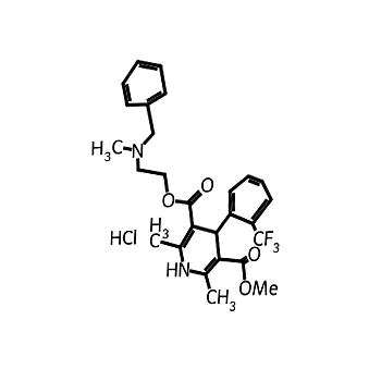 COC(=O)C1=C(C)NC(C)=C(C(=O)OCCN(C)Cc2ccccc2)C1c1ccccc1C(F)(F)F.Cl